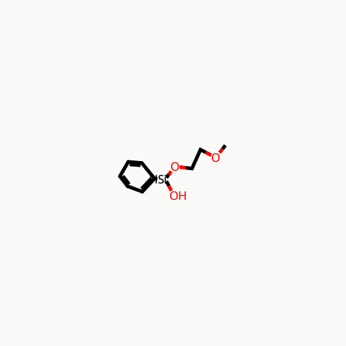 COCCO[SiH](O)c1ccccc1